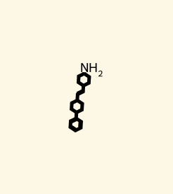 NC1CCC(/C=C/C2CCC(c3ccccc3)CC2)CC1